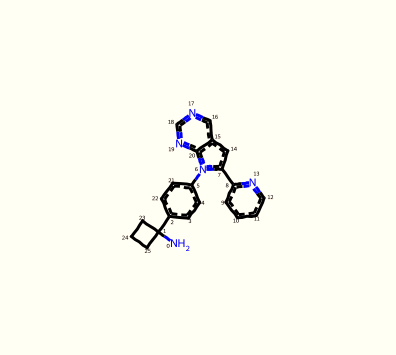 NC1(c2ccc(-n3c(-c4ccccn4)cc4cncnc43)cc2)CCC1